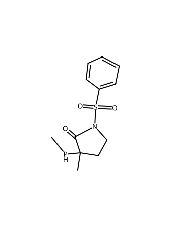 CPC1(C)CCN(S(=O)(=O)c2ccccc2)C1=O